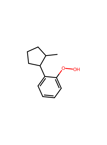 CC1CCCC1c1ccccc1OO